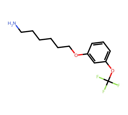 NCCCCCCOc1cccc(OC(F)(F)F)c1